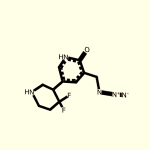 [N-]=[N+]=NCc1cc(C2CNCCC2(F)F)c[nH]c1=O